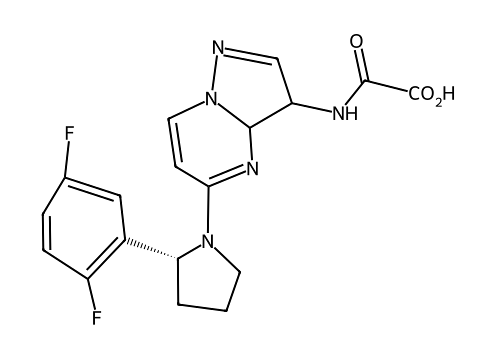 O=C(O)C(=O)NC1C=NN2C=CC(N3CCC[C@@H]3c3cc(F)ccc3F)=NC12